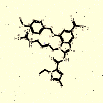 CCn1nc(C)cc1C(=O)Nc1nc2cc(C(N)=O)cc(OCc3ccc(OC)cc3)c2n1C/C=C/CNC(=O)O